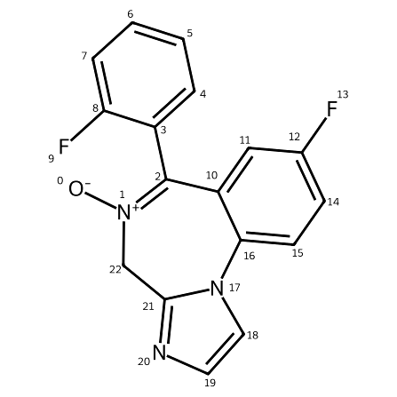 [O-][N+]1=C(c2ccccc2F)c2cc(F)ccc2-n2ccnc2C1